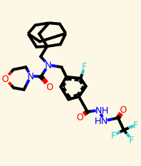 O=C(NNC(=O)C(F)(F)F)c1ccc(CN(CC23CC4CC(CC(C4)C2)C3)C(=O)N2CCOCC2)c(F)c1